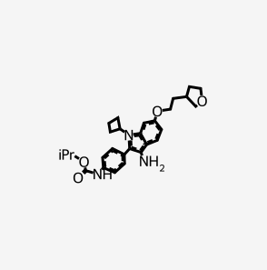 CC(C)OC(=O)Nc1ccc(-c2c(N)c3ccc(OCCC4CCOC4)cc3n2C2CCC2)cc1